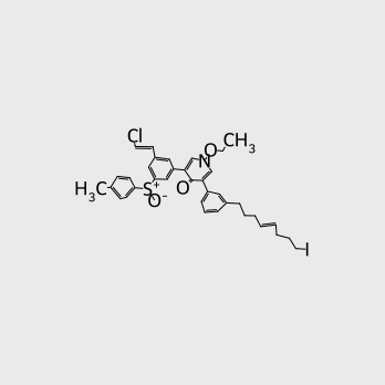 CCOn1cc(-c2cccc(CCC/C=C/CCCI)c2)c(=O)c(-c2cc(/C=C/Cl)cc([S+]([O-])c3ccc(C)cc3)c2)c1